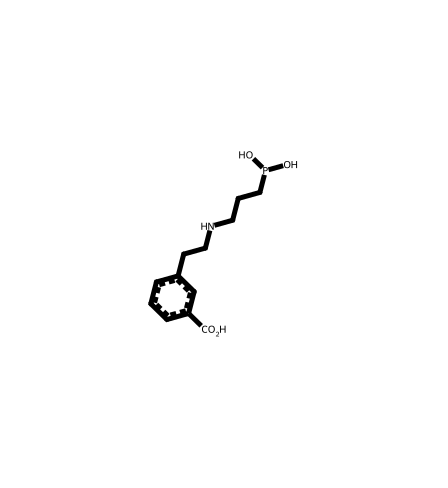 O=C(O)c1cccc(CCNCCCP(O)O)c1